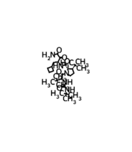 CC(C)(C)NC(=O)N[C@H](C(=O)N1CC[C@H](C(C)(C)C)[C@H]1C(=O)NC(CC1CCC1)C(=O)C(N)=O)C(C)(C)C